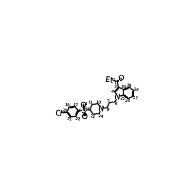 CCC(=O)c1cn(CCCN2CCC(S(=O)(=O)c3ccc(Cl)cc3)CC2)c2ccccc12